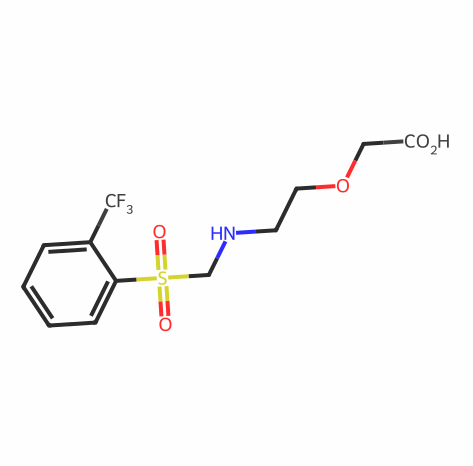 O=C(O)COCCNCS(=O)(=O)c1ccccc1C(F)(F)F